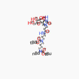 CCCCN(CCCCN(CCCNC(=O)CCn1cc([C@@H]2O[C@H](CO)[C@H](O)C2O)c(=O)[nH]c1=O)C(=O)OC(C)(C)C)C(=O)OC(C)(C)C